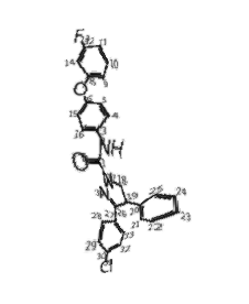 O=C(Nc1ccc(Oc2cccc(F)c2)cc1)N1CC(c2ccccc2)C(c2ccc(Cl)cc2)=N1